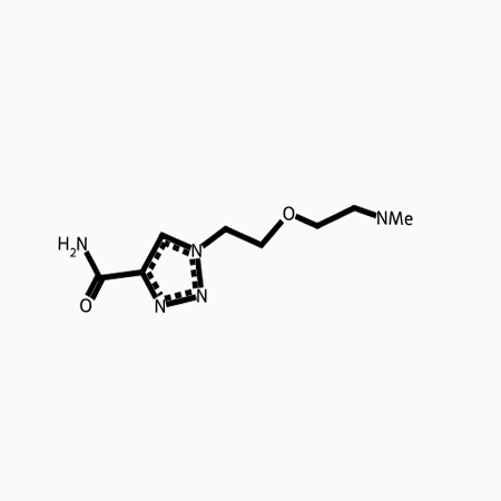 CNCCOCCn1cc(C(N)=O)nn1